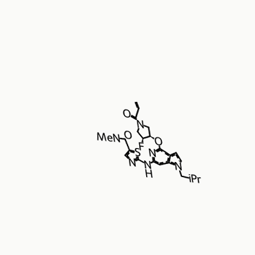 C=CC(=O)N1C[C@H](F)[C@H](Oc2nc(Nc3ncc(C(=O)NC)s3)cc3c2ccn3CC(C)C)C1